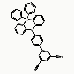 N#Cc1cc(C#N)cc(-c2ccc(N3c4ccccc4[Si](c4ccccc4)(c4ccccc4)c4ccccc43)cc2)c1